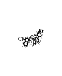 CCN1CCc2c(sc(NC(=O)Nc3ccc(Cl)c4ccccc34)c2CN=O)C1